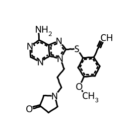 C#Cc1ccc(OC)cc1Sc1nc2c(N)ncnc2n1CCCN1CCC(=O)C1